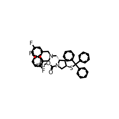 CC(C)(C)OC(=O)N1C[C@H](SC(c2ccccc2)(c2ccccc2)c2ccccc2)C[C@H]1CN(Cc1cc(F)ccc1F)Cc1cc(F)ccc1F